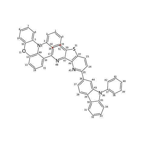 c1ccc(N2c3ccccc3Oc3cccc(-c4ccc5sc6ccc(-c7ccc8c9ccccc9n(-c9ccccc9)c8c7)nc6c5n4)c32)cc1